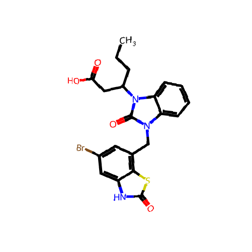 CCCC(CC(=O)O)n1c(=O)n(Cc2cc(Br)cc3[nH]c(=O)sc23)c2ccccc21